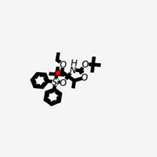 CCOC(=O)C(NC(=O)OC(C)(C)C)(O[Si](c1ccccc1)(c1ccccc1)C(C)(C)C)C(C)C